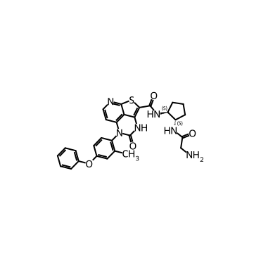 Cc1cc(Oc2ccccc2)ccc1N1C(=O)Nc2c(C(=O)N[C@H]3CCC[C@@H]3NC(=O)CN)sc3nccc1c23